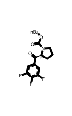 CCCCOC(=O)N1CCC[C@H]1C(=O)c1cc(F)c(F)c(F)c1